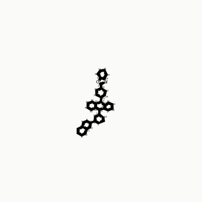 c1cc(-c2ccc3ccccc3c2)cc(-c2c3ccccc3c(-c3ccc(-c4nc5ccccc5o4)cc3)c3ccccc23)c1